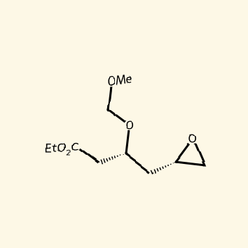 CCOC(=O)C[C@@H](C[C@H]1CO1)OCOC